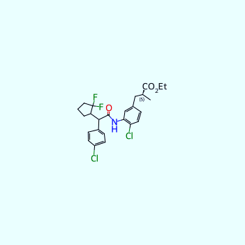 CCOC(=O)[C@@H](C)Cc1ccc(Cl)c(NC(=O)C(c2ccc(Cl)cc2)C2CCCC2(F)F)c1